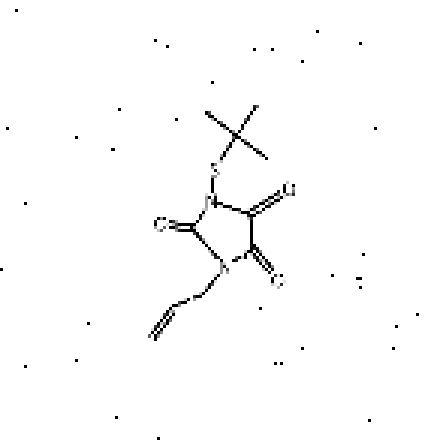 C=CCN1C(=O)C(=O)N(SC(C)(C)C)C1=O